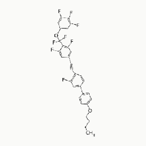 CCCCOc1ccc(-c2ccc(C#Cc3cc(F)c(C(F)(F)Oc4cc(F)c(F)c(F)c4)c(F)c3)c(F)c2)cc1